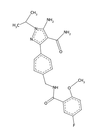 COc1ccc(F)cc1C(=O)NCc1ccc(-c2nn(C(C)C)c(N)c2C(N)=O)cc1